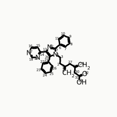 C=C(CCn1c(-c2ccccc2)nc(-c2ccncn2)c1-c1ccccc1)CC(=C)CC(=O)O